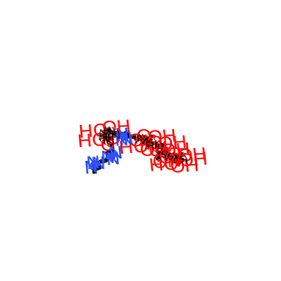 Cc1cn(CCn2cc(CO[C@@H]3O[C@H](Cn4cc(CO[C@@H]5OC6(CO)[C@@H](O[C@H]7OC(CO)[C@@H](O[C@H]8OC9(CO)[C@@H](O)C(O)C89O)C(O)C7O)C(O)C56O)nn4)[C@H](O)[C@H](O)[C@@H]3O)nn2)nn1